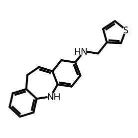 C1=C(NCc2ccsc2)CC2=CCc3ccccc3NC2=C1